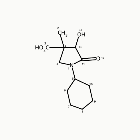 CC1(C(=O)O)CN(C2CCCCC2)C(=O)C1O